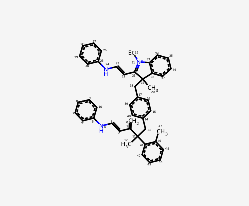 C=C(C=CNc1ccccc1)C(C)(Cc1ccc(CC2(C)C(C=CNc3ccccc3)=[N+](CC)c3ccccc32)cc1)c1ccccc1C